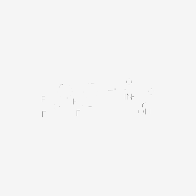 O=C(C#Cc1ccc(-c2cccc(OC(F)F)c2)c(C(F)(F)F)c1)N[C@H]1COC[C@H]1O